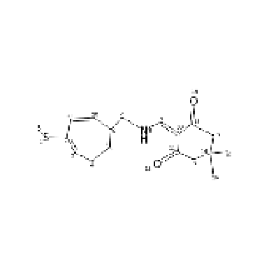 CSC1=CCC=C(CNC=C2C(=O)CC(C)(C)CC2=O)C=C1